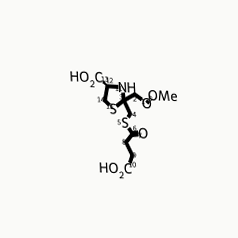 COOCC1(CSC(=O)CCC(=O)O)N[C@H](C(=O)O)CS1